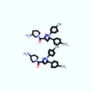 Cc1ccc(-c2cc(C(=O)N3CCC(N)CC3)nn2-c2ccc(C#N)cc2)cc1.Cc1ccc(-c2cc(C(=O)N3CCC[C@H](N)C3)nn2-c2ccc(C#N)cc2)cc1